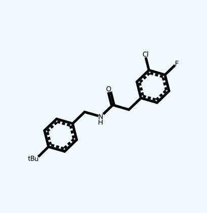 CC(C)(C)c1ccc(CNC(=O)Cc2ccc(F)c(Cl)c2)cc1